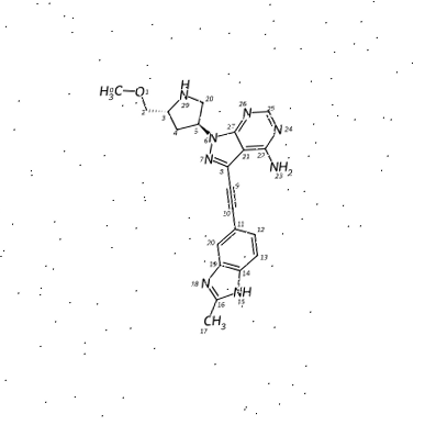 COC[C@H]1C[C@H](n2nc(C#Cc3ccc4[nH]c(C)nc4c3)c3c(N)ncnc32)CN1